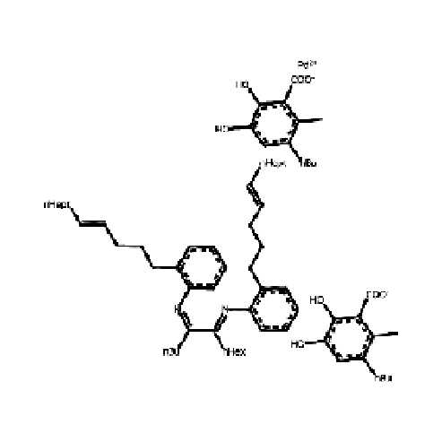 CCCCCCCC=CCCCc1ccccc1N=C(CCCC)C(CCCCCC)=Nc1ccccc1CCCC=CCCCCCCC.CCCCc1cc(O)c(O)c(C(=O)[O-])c1C.CCCCc1cc(O)c(O)c(C(=O)[O-])c1C.[Pd+2]